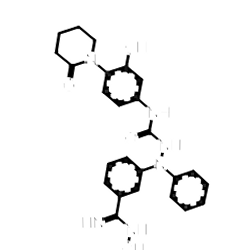 Cc1cc(NC(=O)NN(c2ccccc2)c2cccc(C(=N)NO)c2)ccc1N1CCCCC1=O